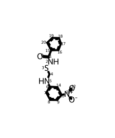 O=C(NSCNc1cccc([N+](=O)[O-])c1)c1ccccc1